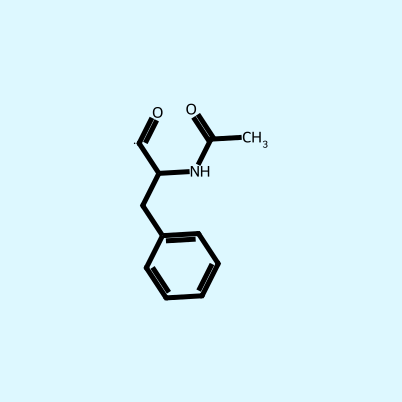 CC(=O)NC([C]=O)Cc1ccccc1